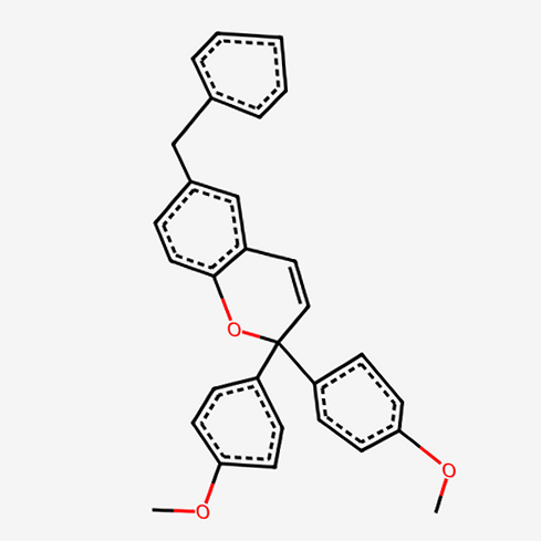 COc1ccc(C2(c3ccc(OC)cc3)C=Cc3cc(Cc4ccccc4)ccc3O2)cc1